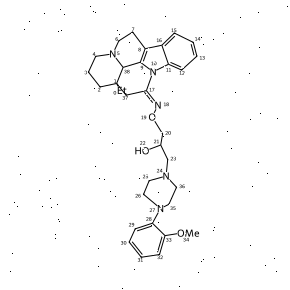 CCC12CCCN3CCc4c(n(c5ccccc45)C(=NOCC(O)CN4CCN(c5ccccc5OC)CC4)C1)C32